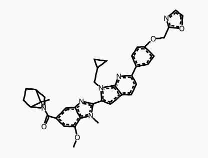 COc1cc(C(=O)N2CC3CCC2[C@@H]3C)cc2nc(-c3cc4ccc(-c5ccc(OCc6ncco6)cc5)nc4n3CC3CC3)n(C)c12